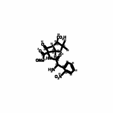 COC(=O)C1(NC(=O)C(N)c2ccccc2[N+](=O)[O-])C(=O)N2[C@@H](C(=O)O)C(C)(C)S[C@@H]21